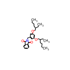 CCCCC(CC)COc1cc(CN2C(=O)c3ccccc3C2=O)cc(OCC(CC)CCCC)c1